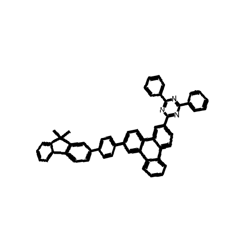 CC1(C)c2ccccc2-c2ccc(-c3ccc(-c4ccc5c(c4)c4ccccc4c4ccc(-c6nc(-c7ccccc7)nc(-c7ccccc7)n6)cc45)cc3)cc21